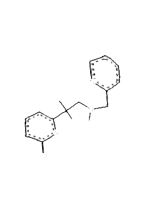 CC(C)(CN(Cc1ccccn1)C(=O)O)c1cccc(Cl)n1